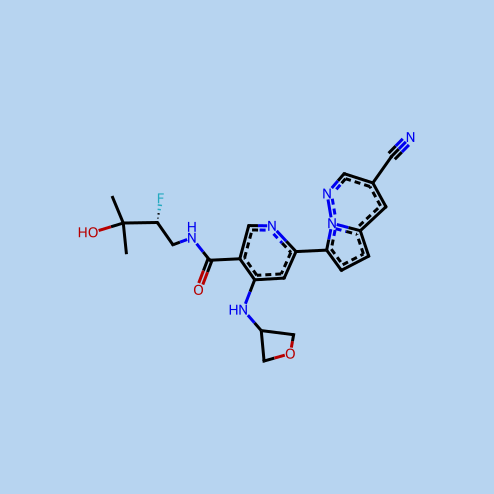 CC(C)(O)[C@H](F)CNC(=O)c1cnc(-c2ccc3cc(C#N)cnn23)cc1NC1COC1